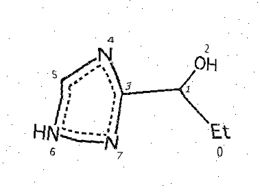 [CH2]CC(O)c1nc[nH]n1